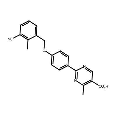 Cc1nc(-c2ccc(OCc3cccc(C#N)c3C)cc2)ncc1C(=O)O